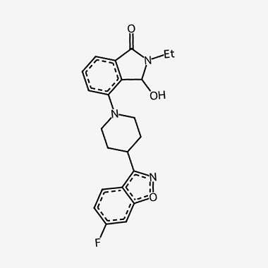 CCN1C(=O)c2cccc(N3CCC(c4noc5cc(F)ccc45)CC3)c2C1O